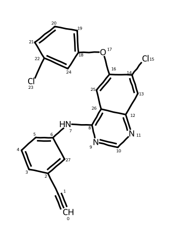 C#Cc1cccc(Nc2ncnc3cc(Cl)c(Oc4cccc(Cl)c4)cc23)c1